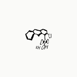 O=S(=O)(O)c1c(Cl)ccc2cc3ccccc3cc12.[KH]